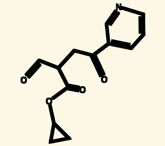 O=CC(CC(=O)c1cccnc1)C(=O)OC1CC1